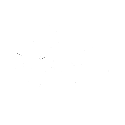 C[C@@H](C(=O)N[C@H](C(=O)N1Cc2ccccc2[C@H]1C(=O)Nc1cc(C(=O)O)ccc1F)C1CCOCC1)N(C)C(=O)OC(C)(C)C